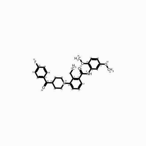 CCc1c(C(=O)Nc2cc(OC)ccc2OC)cccc1N1CCC(C(=O)c2ccc(F)cc2)CC1